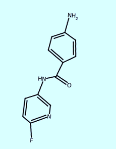 Nc1ccc(C(=O)Nc2ccc(F)nc2)cc1